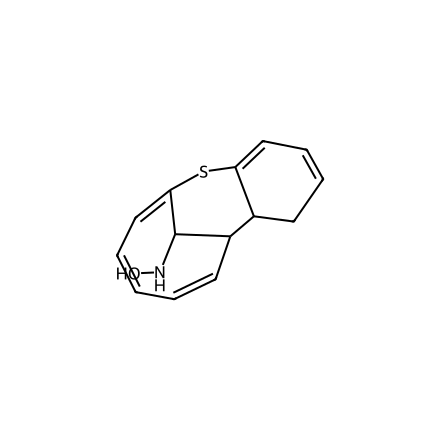 ONC1\C2=C/C=C\C=C/C1C1CC=CC=C1S2